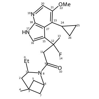 CCC1CC2(C)CC(C2)N1C(=O)CC(C)(F)c1c[nH]c2ncc(OC)c(C3CC3)c12